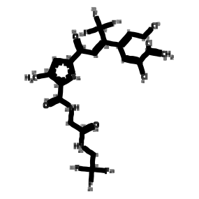 C=C(Cl)\C(Cl)=C/C(=C\CCl)C(=C/C(=O)c1cc(C)c(C(=O)NCC(=O)NCC(F)(F)F)s1)/C(F)(F)F